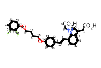 O=C(O)Cc1cn(CC(=O)O)c2c(C=Cc3ccc(OCCCCOc4cccc(F)c4F)cc3)cccc12